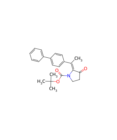 C/C(=C1\C(=O)CCN1C(=O)OC(C)(C)C)c1ccc(-c2ccccc2)cc1